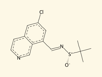 CC(C)(C)[S@+]([O-])N=Cc1cc(Cl)cc2ccncc12